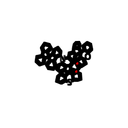 c1ccc2c(c1)Oc1ccccc1C21c2ccccc2-c2cc(N(c3cccc4c3-c3ccccc3C43c4ccccc4Sc4ccccc43)c3cccc4c3-c3ccccc3C43c4ccccc4-c4ccccc43)ccc21